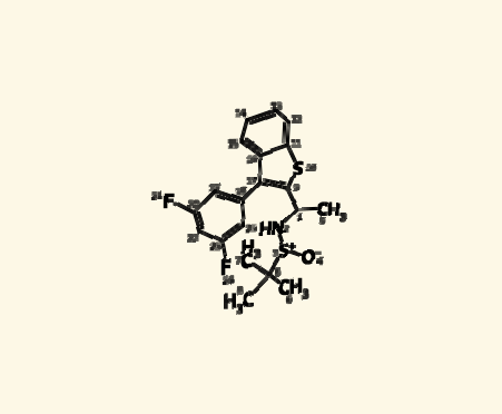 CC(N[S+]([O-])C(C)(C)C)c1sc2ccccc2c1-c1cc(F)cc(F)c1